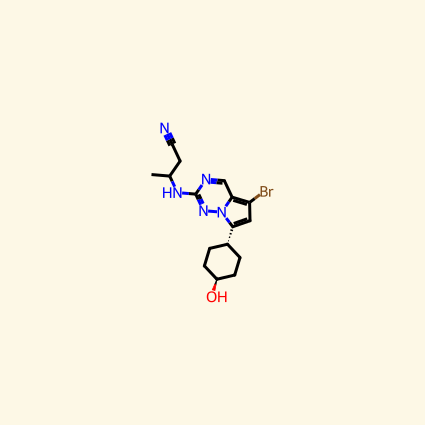 CC(CC#N)Nc1ncc2c(Br)cc([C@H]3CC[C@H](O)CC3)n2n1